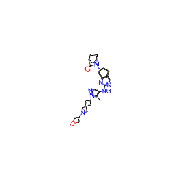 Cc1c(Nc2ncc3ccc(N4C(=O)C5CCC4C5)cc3n2)cnn1C1CC2(C1)CN(C1COC1)C2